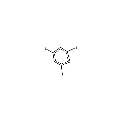 [Li][c]1cc(I)cc(I)c1